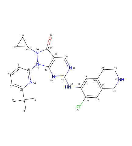 CC(C)(C)c1cccc(-n2c3nc(Nc4cc5c(cc4Cl)CNCC5)ncc3c(=O)n2C2CC2)n1